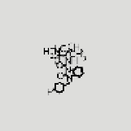 CC(C)(C)[C@H](NC(=O)n1c(=O)n(CC2CC=C(F)CC2)c2ccccc21)C(N)=O